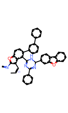 C=Nc1oc2ccc(-c3cccc(-c4ccccc4)c3)c(C3=NC(c4ccccc4)=NC(c4ccc5c(c4)oc4ccccc45)N3)c2c1/C=C\C